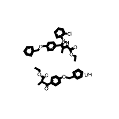 CCOC(=O)C(C)C(=O)c1ccc(OCc2ccccc2)cc1.CCOC(=O)c1nn(-c2ccccc2Cl)c(-c2ccc(OCc3ccccc3)cc2)c1C.[LiH]